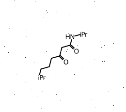 CC(C)CCCC(=O)CC(=O)NC(C)C